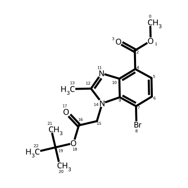 COC(=O)c1ccc(Br)c2c1nc(C)n2CC(=O)OC(C)(C)C